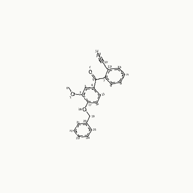 COc1cc(C(=O)c2ccccc2C#N)ccc1OCc1ccccc1